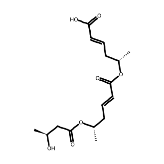 C[C@H](O)CC(=O)O[C@@H](C)C/C=C/C(=O)O[C@@H](C)C/C=C/C(=O)O